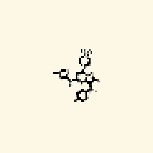 Cc1nn2c(N3CCS(=O)(=O)CC3)cc(Nc3cn(C)cn3)nc2c1[C@H](C)c1ccc(F)cc1